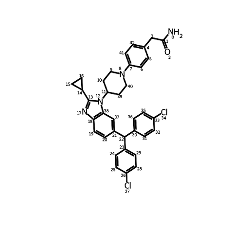 NC(=O)Cc1ccc(N2CCC(n3c(C4CC4)nc4ccc(C(c5ccc(Cl)cc5)c5ccc(Cl)cc5)cc43)CC2)cc1